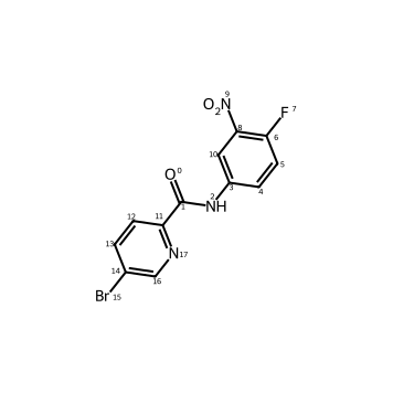 O=C(Nc1ccc(F)c([N+](=O)[O-])c1)c1ccc(Br)cn1